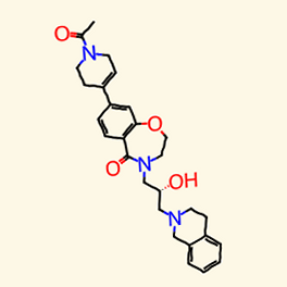 CC(=O)N1CC=C(c2ccc3c(c2)OCCN(C[C@H](O)CN2CCc4ccccc4C2)C3=O)CC1